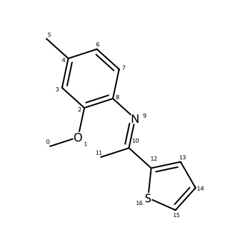 COc1cc(C)ccc1N=C(C)c1cccs1